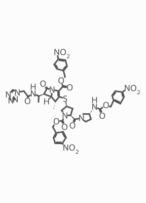 CC(NC(=O)Cn1cnnn1)[C@H]1C(=O)N2C(C(=O)OCc3ccc([N+](=O)[O-])cc3)=C(S[C@H]3C[C@@H](C(=O)N4CC[C@@H](NC(=O)OCc5ccc([N+](=O)[O-])cc5)C4)N(C(=O)OCc4ccc([N+](=O)[O-])cc4)C3)[C@H](C)[C@H]12